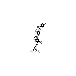 [C-]#[N+]c1cc2c(Oc3ccc(NC(=O)Nc4ccc(F)cc4)c(F)c3)ccnc2cc1OCCCN(CC)CC